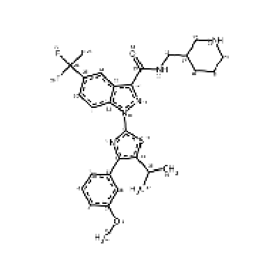 COc1cccc(-c2nc(-n3nc(C(=O)NCC4CCCNC4)c4cc(C(F)(F)F)ccc43)sc2C(C)C)c1